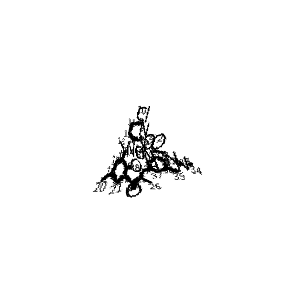 CC(=O)NS(=O)(=O)c1nc(Cl)ccc1N[C@H](C)c1cc(C)cc2c(=O)c(C)c(-c3ccc4nn(C)cc4c3)oc12